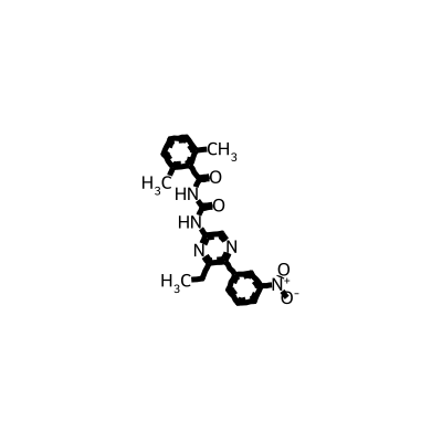 CCc1nc(NC(=O)NC(=O)c2c(C)cccc2C)cnc1-c1cccc([N+](=O)[O-])c1